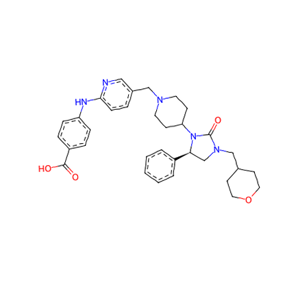 O=C(O)c1ccc(Nc2ccc(CN3CCC(N4C(=O)N(CC5CCOCC5)C[C@H]4c4ccccc4)CC3)cn2)cc1